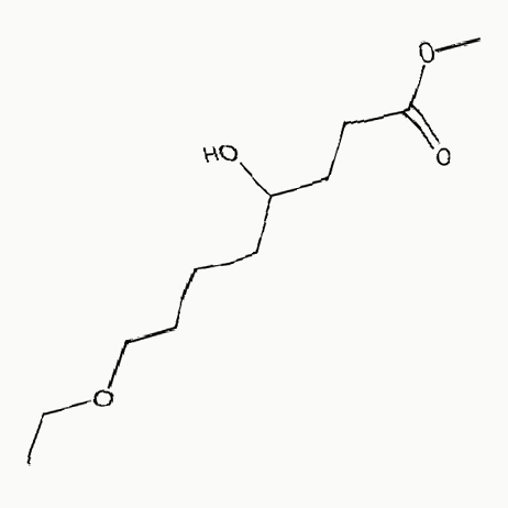 CCOCCCCC(O)CCC(=O)OC